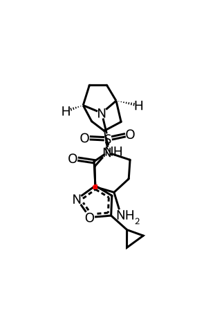 NC1CCN(S(=O)(=O)N2[C@@H]3CC[C@H]2C[C@@H](NC(=O)c2cc(C4CC4)on2)C3)CC1